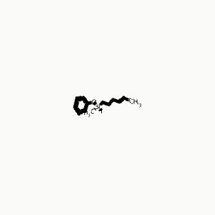 CCCCCC[Si](C)(I)Oc1ccccc1